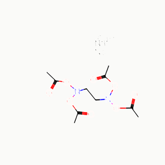 CC(=O)ON(CCN(OC(C)=O)OC(C)=O)OC(C)=O.[Cu+2].[Na+].[Na+]